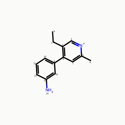 CCc1cnc(C)cc1-c1cccc(N)c1